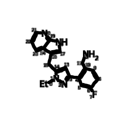 CCn1nc(-c2cc(F)ccc2CN)cc1Cc1c[nH]c2ncccc12